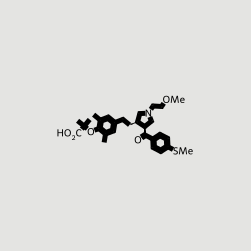 COCCN1C[C@@H](CCc2cc(C)c(OC(C)(C)C(=O)O)c(C)c2)[C@H](C(=O)c2ccc(SC)cc2)C1